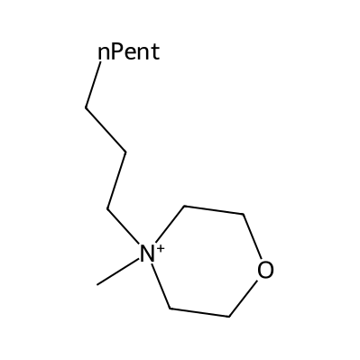 CCCCCCCC[N+]1(C)CCOCC1